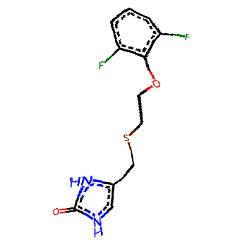 O=c1[nH]cc(CSCCOc2c(F)cccc2F)[nH]1